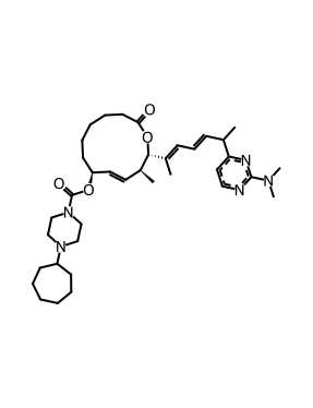 C/C(=C\C=C\C(C)c1ccnc(N(C)C)n1)[C@H]1OC(=O)CCCCC[C@H](OC(=O)N2CCN(C3CCCCCC3)CC2)/C=C/[C@@H]1C